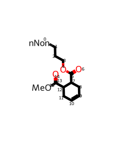 CCCCCCCCCCCCOC(=O)C1CC=CCC1C(=O)OC